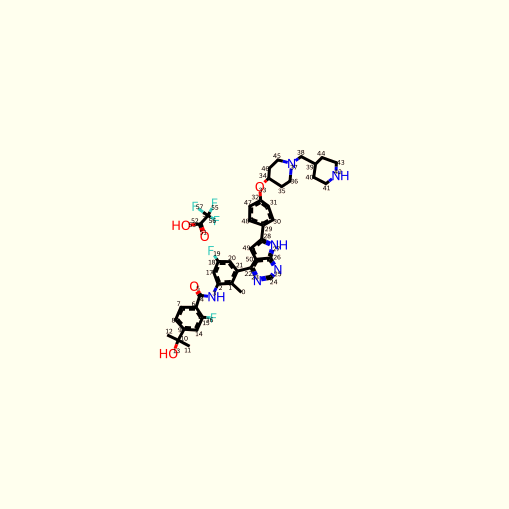 Cc1c(NC(=O)c2ccc(C(C)(C)O)cc2F)cc(F)cc1-c1ncnc2[nH]c(-c3ccc(OC4CCN(CC5CCNCC5)CC4)cc3)cc12.O=C(O)C(F)(F)F